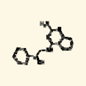 Nc1nc(NC[C@@H](O)c2ccccc2)c2ccccc2n1